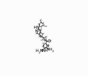 Cc1cc(C)cc(Nc2ncc3c(n2)CN(C2CN(C(=O)c4ccc(NN)c(N)n4)C2)C3)c1